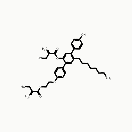 C=C(CO)C(=O)OCCOc1ccc(-c2cc(CCCCCCCC)c(-c3ccc(O)cc3)cc2OC(=O)C(=C)CO)cc1